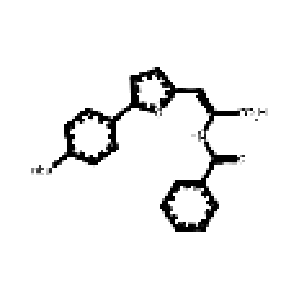 CCCCc1ccc(-c2ccc(C=C(NC(=O)c3ccccc3)C(=O)O)o2)cc1